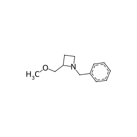 COCC1CCN1Cc1ccccc1